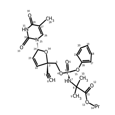 C#C[C@@]1(CO[P@@](=O)(NC(C)(C)C(=O)OC(C)C)Oc2ccccc2)C=C[C@H](n2cc(C)c(=O)[nH]c2=O)O1